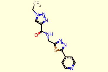 O=C(NCc1nnc(-c2ccncc2)s1)c1cn(CC(F)(F)F)nn1